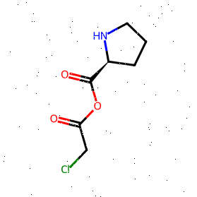 O=C(CCl)OC(=O)[C@@H]1CCCN1